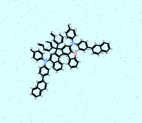 C=C/C=C\C(=C/C)C1(C(/C=C\C)=C/C=C)c2cc(N(c3ccc(C)cc3)c3ccc(-c4ccc5ccccc5c4)cc3)c3ccccc3c2-c2c1cc(N(c1ccc(C)cc1)c1ccc(-c3ccc4ccccc4c3)cc1)c1oc3ccccc3c21